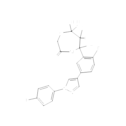 CC1(C)OCC(=S)NC(C)(c2cc(-c3cnn(-c4ccc(F)cc4)c3)ccc2F)C1(F)F